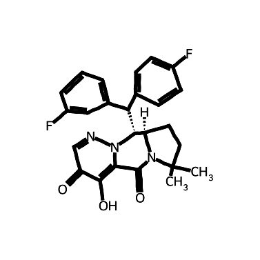 CC1(C)CC[C@@H]2[C@@H](C(c3ccc(F)cc3)c3cccc(F)c3)n3ncc(=O)c(O)c3C(=O)N21